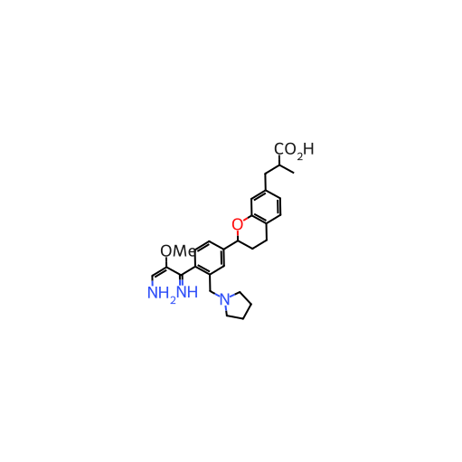 CO/C(=C/N)C(=N)c1ccc(C2CCc3ccc(CC(C)C(=O)O)cc3O2)cc1CN1CCCC1